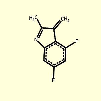 C=C1C(C)=Nc2cc(F)cc(F)c21